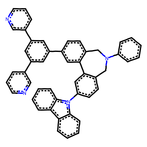 c1ccc(N2Cc3ccc(-c4cc(-c5cccnc5)cc(-c5cccnc5)c4)cc3-c3cc(-n4c5ccccc5c5ccccc54)ccc3C2)cc1